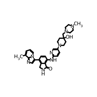 Cc1cccn2c(-c3ccc(Nc4ccc(N5CCC(O)(CN6CCN(C)CC6)CC5)cn4)c4c3CNC4=O)cnc12